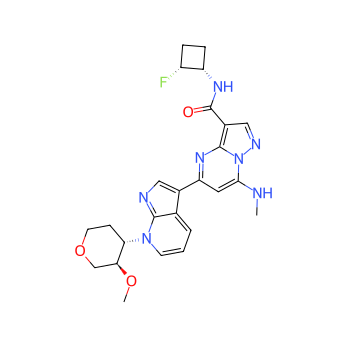 CNc1cc(-c2cnc3n([C@H]4CCOC[C@@H]4OC)cccc2-3)nc2c(C(=O)N[C@H]3CC[C@H]3F)cnn12